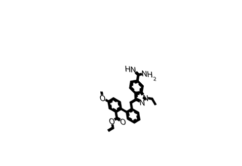 CCOC(=O)c1cc(OC)ccc1-c1ccccc1Cc1nn(CC)c2cc(C(=N)N)ccc12